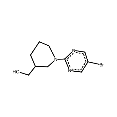 OCC1CCCN(c2ncc(Br)cn2)C1